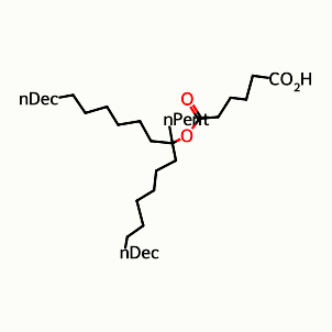 CCCCCCCCCCCCCCCCC(CCCCC)(CCCCCCCCCCCCCCCC)OC(=O)CCCCC(=O)O